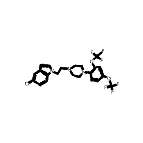 FC(F)(F)Oc1ccc(N2CCN(CCn3ccc4cc(Cl)ccc43)CC2)c(OC(F)(F)F)c1